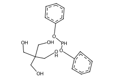 OCC(CO)(CO)CO.c1ccc(OPOc2ccccc2)cc1